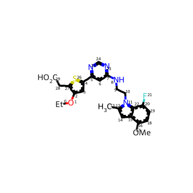 CCOc1cc(-c2cc(NCCn3c(C)cc4c(OC)ccc(F)c43)ncn2)sc1CC(=O)O